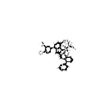 CC1=Cc2c(-c3ccc(C)c(C)c3)ccc(C)c2[CH]1[Zr]([Cl])([Cl])([CH]1C(C(C)C)=Cc2c(-c3ccccc3)cccc21)[SiH](C)C